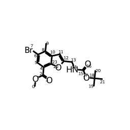 COC(=O)c1cc(Br)c(C)c2cc(CNC(=O)OC(C)(C)C)oc12